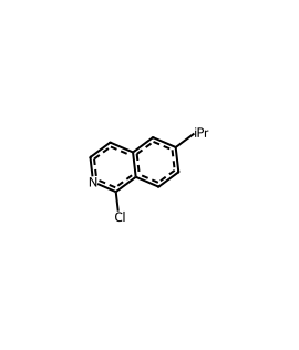 CC(C)c1ccc2c(Cl)nccc2c1